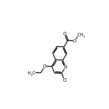 CCOc1cc(Cl)nc2cc(C(=O)OC)ccc12